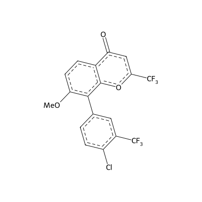 COc1ccc2c(=O)cc(C(F)(F)F)oc2c1-c1ccc(Cl)c(C(F)(F)F)c1